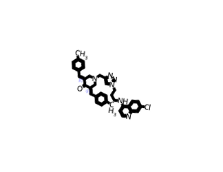 Cc1ccc(/C=C2\CN(Cc3cn(CCCNc4ccnc5cc(Cl)ccc45)nn3)C/C(=C\c3ccc(C)cc3)C2=O)cc1